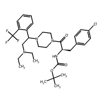 CCN(CC)CC(c1ccccc1C(F)(F)F)N1CCN(C(=O)[C@@H](Cc2ccc(Cl)cc2)NC(=O)OC(C)(C)C)CC1